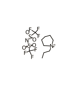 CCC[N+]1(C)CCCCC1.O=S(=O)([N-]S(=O)(=O)C(F)(F)F)C(F)(F)F